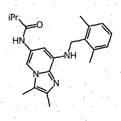 Cc1cccc(C)c1CNc1cc(NC(=O)C(C)C)cn2c(C)c(C)nc12